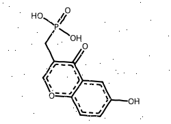 O=c1c(CP(=O)(O)O)coc2ccc(O)cc12